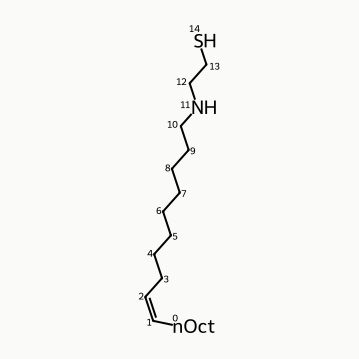 CCCCCCCC/C=C\CCCCCCCCNCCS